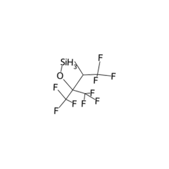 CC(C(F)(F)F)C(O[SiH3])(C(F)(F)F)C(F)(F)F